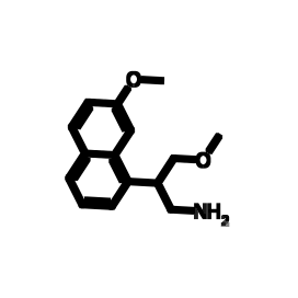 COCC(CN)c1cccc2ccc(OC)cc12